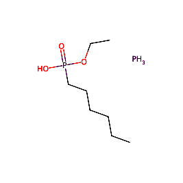 CCCCCCP(=O)(O)OCC.P